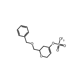 O=S(=O)(OC1=CCOC(COCc2ccccc2)C1)C(F)(F)F